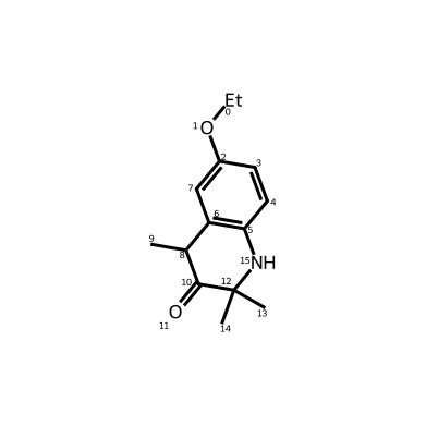 CCOc1ccc2c(c1)C(C)C(=O)C(C)(C)N2